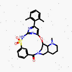 Cc1cccc(C)c1-c1cc2nc(n1)NS(=O)(=O)c1cccc(c1)C(=O)N1CC3CCCN(C)C3C(C1)O2